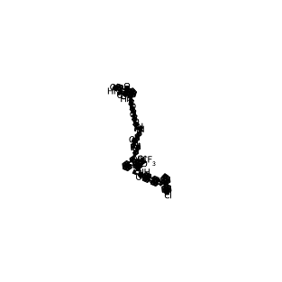 C/C=S(/NC(=O)c1ccc(N2CCN(CC3=C(c4ccc(Cl)cc4)CCC(C)(C)C3)CC2)cc1)c1ccc(N[C@H](CCN2CCN(C(=O)CCCn3cc(COCCOCCOCCNc4cccc5c4C(=O)N(C4CCC(=O)NC4=O)C5=O)nn3)CC2)CSc2ccccc2)c(S(=O)(=O)C(F)(F)F)c1